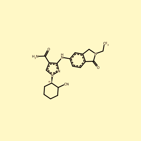 N#CC1CCCC[C@H]1n1cc(C(N)=O)c(Nc2ccc3c(c2)CN(CC(F)(F)F)C3=O)n1